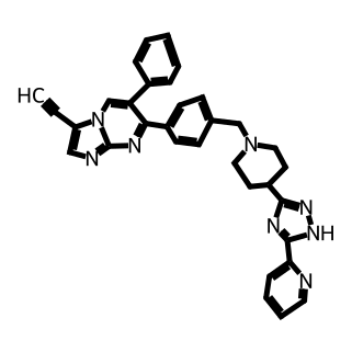 C#Cc1cnc2nc(-c3ccc(CN4CCC(c5n[nH]c(-c6ccccn6)n5)CC4)cc3)c(-c3ccccc3)cn12